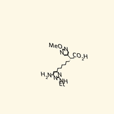 CCNc1nc(N)cc(CCCCCC[C@@H](CC(=O)O)c2cnc(OC)nc2)n1